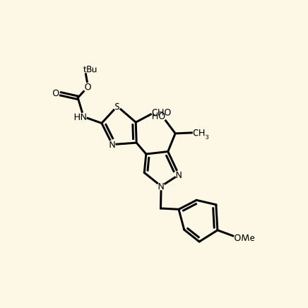 COc1ccc(Cn2cc(-c3nc(NC(=O)OC(C)(C)C)sc3C=O)c(C(C)O)n2)cc1